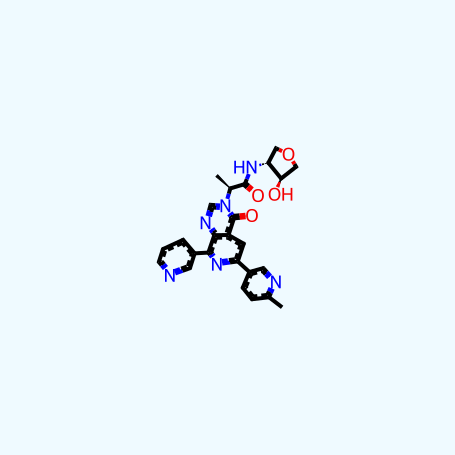 Cc1ccc(-c2cc3c(=O)n([C@@H](C)C(=O)N[C@@H]4COC[C@H]4O)cnc3c(-c3cccnc3)n2)cn1